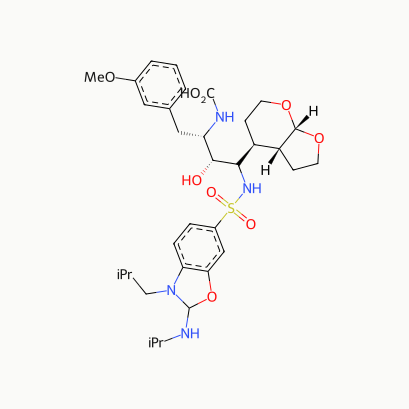 COc1cccc(C[C@H](NC(=O)O)[C@@H](O)C(NS(=O)(=O)c2ccc3c(c2)OC(NC(C)C)N3CC(C)C)[C@H]2CCO[C@@H]3OCC[C@@H]32)c1